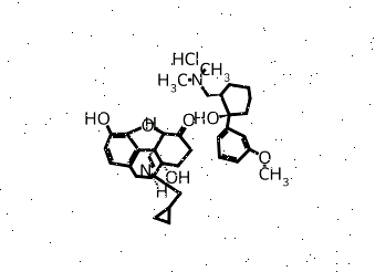 COc1cccc([C@@]2(O)CCCC[C@@H]2CN(C)C)c1.Cl.O=C1CC[C@@]2(O)[C@H]3Cc4ccc(O)c5c4[C@@]2(CCN3CC2CC2)[C@H]1O5